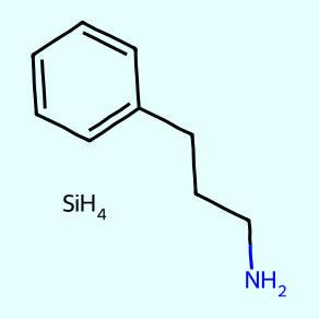 NCCCc1ccccc1.[SiH4]